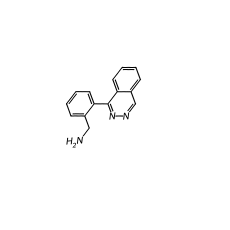 NCc1ccccc1-c1nncc2ccccc12